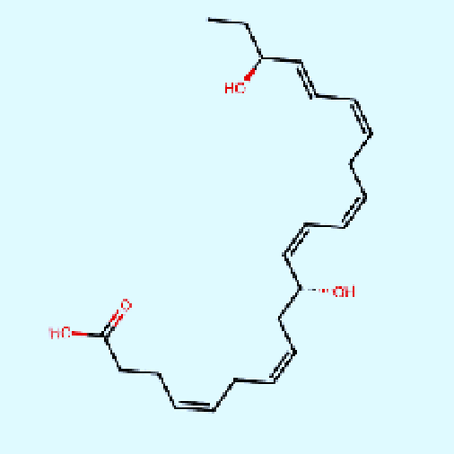 CC[C@H](O)/C=C/C=C\C/C=C\C=C/[C@H](O)C/C=C\C/C=C\CCC(=O)O